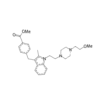 COCCN1CCN(CCn2c(C)c(Cc3ccc(C(=O)OC)cc3)c3ccccc32)CC1